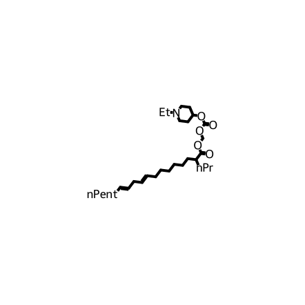 CCCCCC=CCC=CCCCCCCC(CCC)C(=O)OCOC(=O)OC1CCN(CC)CC1